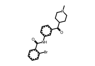 CN1CCC(C(=O)c2cccc(NC(=O)c3ccccc3Br)c2)CC1